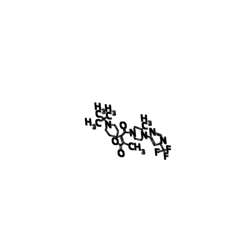 CC1=C(C(=O)N2CCN(c3cc(C(F)(F)F)ncn3)[C@@H](C)C2)C2(CCN(C(C)(C)C)CC2)OC1=O